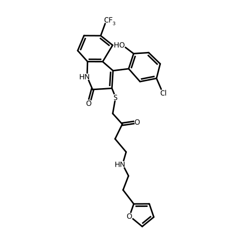 O=C(CCNCCc1ccco1)CSc1c(-c2cc(Cl)ccc2O)c2cc(C(F)(F)F)ccc2[nH]c1=O